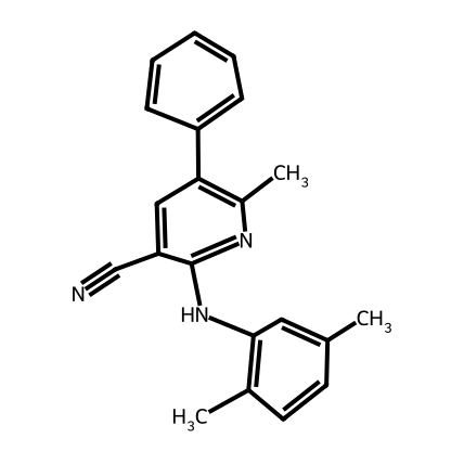 Cc1ccc(C)c(Nc2nc(C)c(-c3ccccc3)cc2C#N)c1